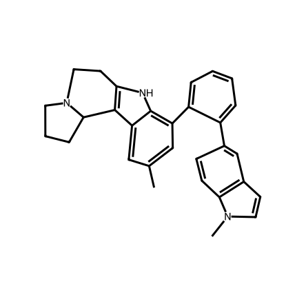 Cc1cc(-c2ccccc2-c2ccc3c(ccn3C)c2)c2[nH]c3c(c2c1)C1CCCN1CC3